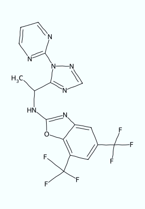 CC(Nc1nc2cc(C(F)(F)F)cc(C(F)(F)F)c2o1)c1ncnn1-c1ncccn1